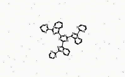 c1cnc(-c2nc(-c3nc(-c4nc(-c5ncccn5)n5ccccc45)nc(-c4nc(-c5ncccn5)n5ccccc45)n3)c3ccccn23)nc1